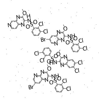 COc1nc2cc(Br)cnc2nc1NS(=O)(=O)c1cccc(Cl)c1Cl.COc1nc2cc(Cl)c(Cl)cc2nc1NS(=O)(=O)c1cccc(Cl)c1Cl.COc1nc2cnccc2nc1NS(=O)(=O)c1cccc(Cl)c1Cl.COc1nc2ncc(Br)cc2nc1NS(=O)(=O)c1cccc(Cl)c1Cl